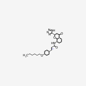 CCCCCCOc1ccc(/C=C/C(=O)Nc2cccc3c(=O)cc(-c4nnn[nH]4)oc23)cc1